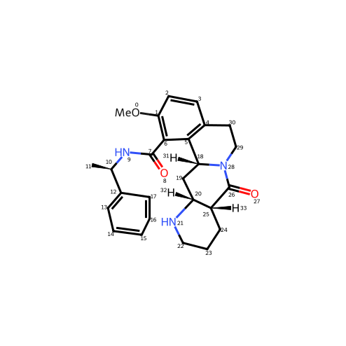 COc1ccc2c(c1C(=O)N[C@H](C)c1ccccc1)[C@H]1C[C@H]3NCCC[C@H]3C(=O)N1CC2